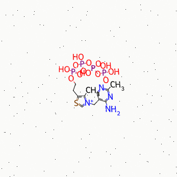 Cc1ncc(C[n+]2csc(CCOP(=O)(O)OP(=O)(O)OP(=O)(O)OP(=O)(O)O)c2C)c(N)n1